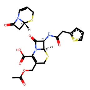 CC(=O)OCC1=C(C(=O)O)N2C(=O)[C@@H](NC(=O)Cc3cccs3)[C@H]2SC1.O=C1C[C@H]2SCC=CN12